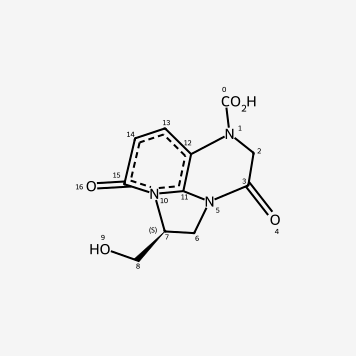 O=C(O)N1CC(=O)N2C[C@@H](CO)n3c2c1ccc3=O